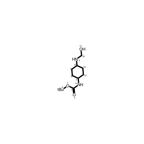 CC(C)(C)OC(=O)NC1CCC(NCO)CC1